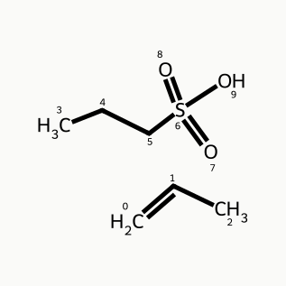 C=CC.CCCS(=O)(=O)O